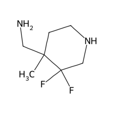 CC1(CN)CCNCC1(F)F